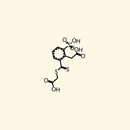 O=C(O)CSC(=S)c1cccc(S(=O)(=O)O)c1CC(=O)O